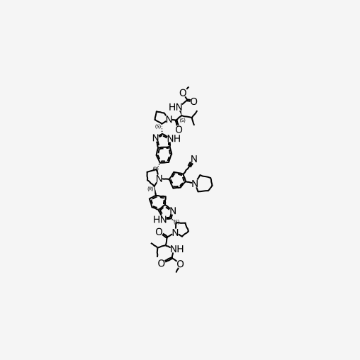 COC(=O)NC(C(=O)N1CCC[C@H]1c1nc2cc([C@H]3CC[C@H](c4ccc5[nH]c([C@@H]6CCCN6C(=O)[C@@H](NC(=O)OC)C(C)C)nc5c4)N3c3ccc(N4CCCCC4)c(C#N)c3)ccc2[nH]1)C(C)C